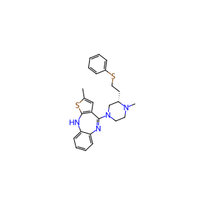 Cc1cc2c(s1)Nc1ccccc1N=C2N1CCN(C)[C@@H](CCSc2ccccc2)C1